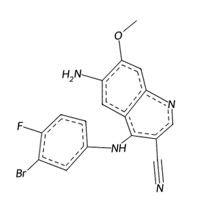 COc1cc2ncc(C#N)c(Nc3ccc(F)c(Br)c3)c2cc1N